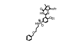 CCCc1nc(C)c2c(=O)[nH]c(-c3cc(S(=O)(=O)NCCCOCc4ccccc4)ccc3OCC)nn12